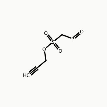 C#CCOS(=O)(=O)CP=O